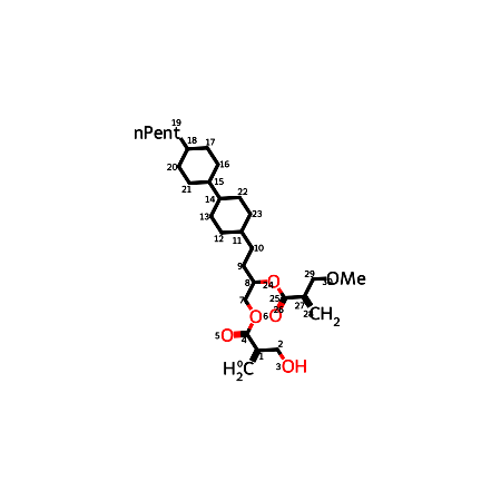 C=C(CO)C(=O)OCC(CCC1CCC(C2CCC(CCCCC)CC2)CC1)OC(=O)C(=C)COC